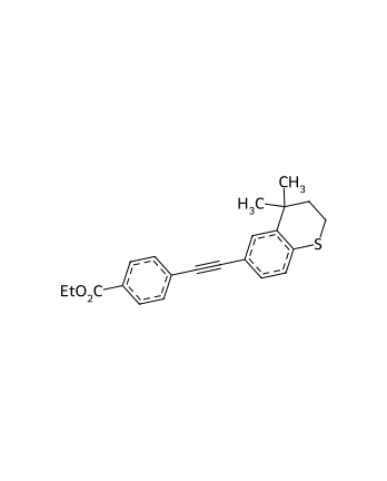 CCOC(=O)c1ccc(C#Cc2ccc3c(c2)C(C)(C)CCS3)cc1